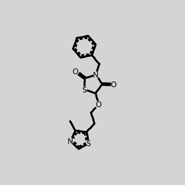 Cc1ncsc1CCOC1SC(=O)N(Cc2ccccc2)C1=O